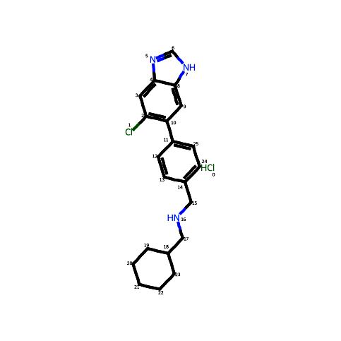 Cl.Clc1cc2nc[nH]c2cc1-c1ccc(CNCC2CCCCC2)cc1